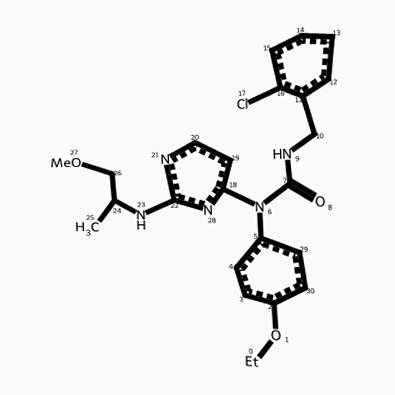 CCOc1ccc(N(C(=O)NCc2ccccc2Cl)c2ccnc(NC(C)COC)n2)cc1